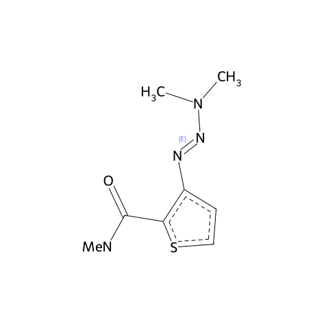 CNC(=O)c1sccc1/N=N/N(C)C